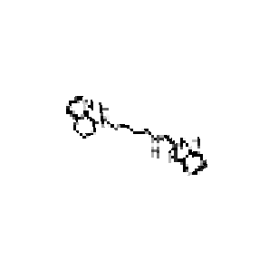 c1cnc2c(c1)CCC[C@H]2NCCCCNCc1nc2ccccc2[nH]1